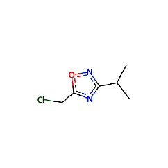 CC(C)c1noc(CCl)n1